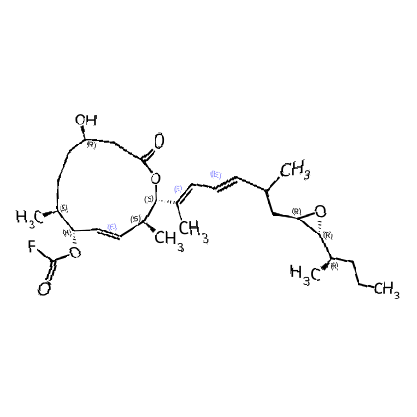 CCC[C@@H](C)[C@H]1O[C@@H]1CC(C)/C=C/C=C(\C)[C@H]1OC(=O)C[C@H](O)CC[C@H](C)[C@@H](OC(=O)F)/C=C/[C@@H]1C